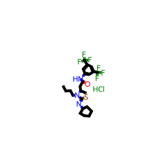 CCCCN1C(=NC2CCCCC2)SCC1CC(=O)Nc1cc(C(F)(F)F)cc(C(F)(F)F)c1.Cl